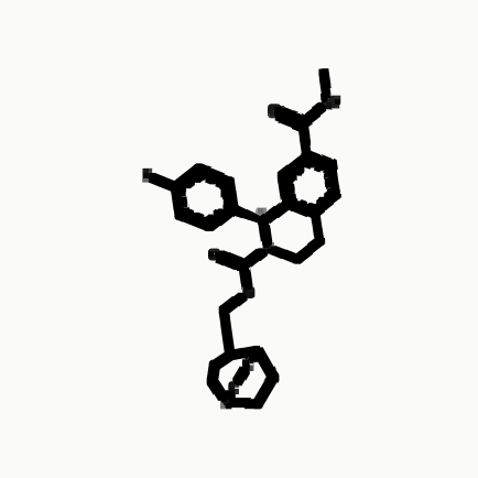 CNC(=O)c1ccc2c(c1)[C@H](c1ccc(F)cc1)N(C(=O)OCC1CCN3CCC1CC3)CC2